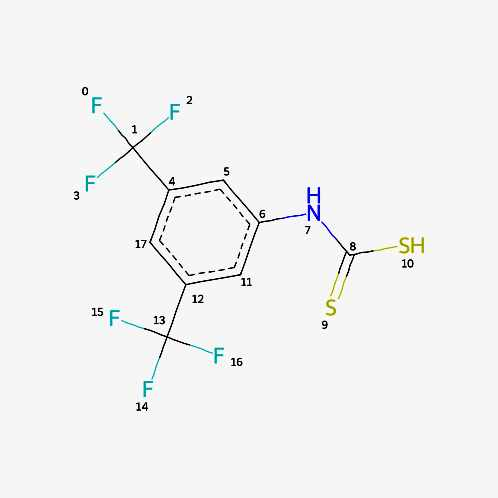 FC(F)(F)c1cc(NC(=S)S)cc(C(F)(F)F)c1